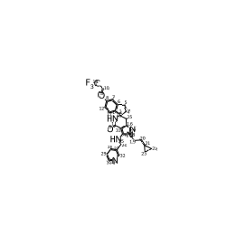 O=C1N[C@@]2(CCc3cc(OCC(F)(F)F)ccc32)Cc2nn(CCC3CC3)c(NCc3cccnc3)c21